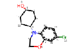 O[C@H]1CC[C@H](N2CCOc3cc(Br)ccc32)CC1